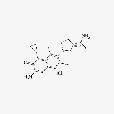 Cc1c(N2CC[C@@H]([C@H](C)N)C2)c(F)cc2cc(N)c(=O)n(C3CC3)c12.Cl